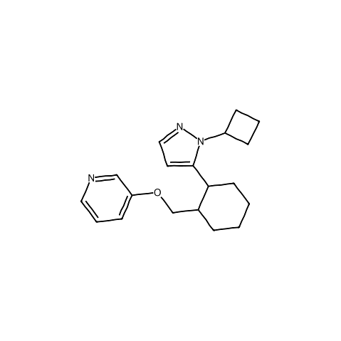 c1cncc(OCC2CCCCC2c2ccnn2C2CCC2)c1